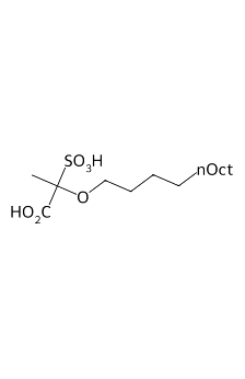 CCCCCCCCCCCCOC(C)(C(=O)O)S(=O)(=O)O